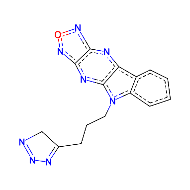 c1ccc2c(c1)c1nc3nonc3nc1n2CCCC1=NN=NC1